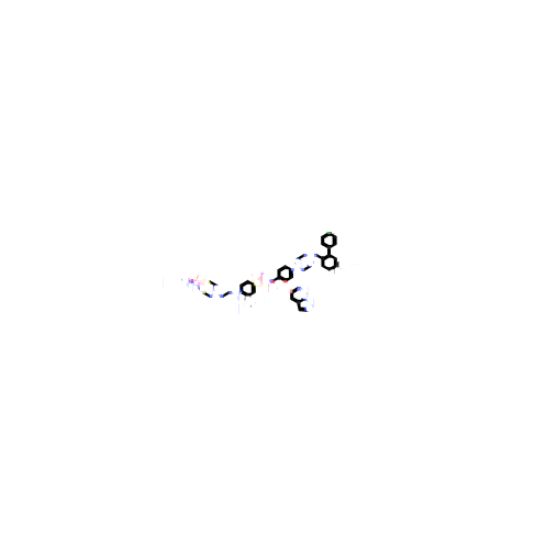 CC1(C)CCC(CN2CCN(c3ccc(C(=O)NS(=O)(=O)c4ccc(NCCN5CCS(=O)(=NC(N)=O)CC5)c([N+](=O)[O-])c4)c(Oc4cnc5[nH]ccc5c4)c3)CC2)=C(c2ccc(Cl)cc2)C1